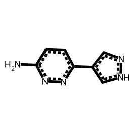 Nc1ccc(-c2cn[nH]c2)nn1